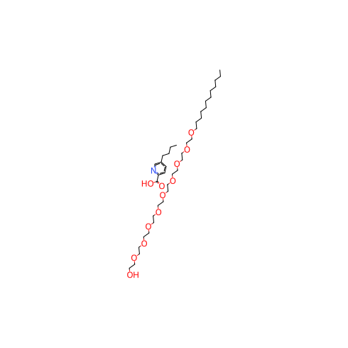 CCCCCCCCCCCCOCCOCCOCCOCCOCCOCCOCCOCCOCCO.CCCCc1ccc(C(=O)O)nc1